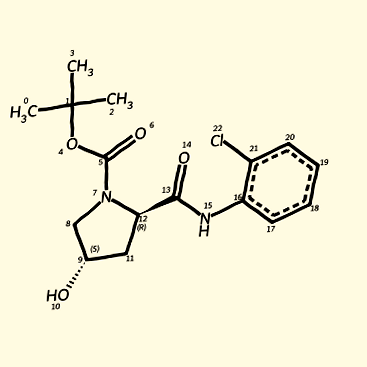 CC(C)(C)OC(=O)N1C[C@@H](O)C[C@@H]1C(=O)Nc1ccccc1Cl